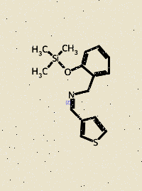 C[Si](C)(C)Oc1ccccc1C/N=C\c1ccsc1